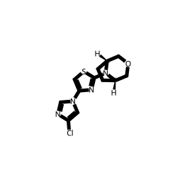 Clc1cn(-c2csc(N3[C@@H]4CC[C@H]3COC4)n2)cn1